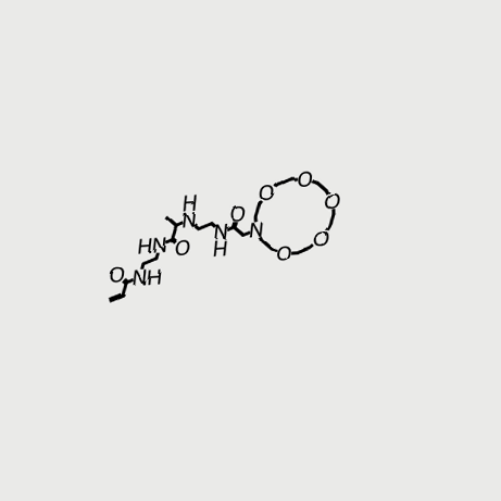 C=CC(=O)NCCNC(=O)C(C)NCCNC(=O)CN1CCOCCOCCOCCOCCOCC1